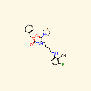 N#Cc1c(F)cccc1NCCCCC(NC(=O)OCc1ccccc1)C(=O)N1CCSC1